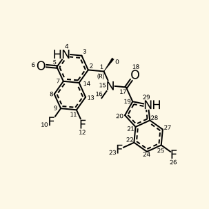 C[C@H](c1c[nH]c(=O)c2cc(F)c(F)cc12)N(C)C(=O)c1cc2c(F)cc(F)cc2[nH]1